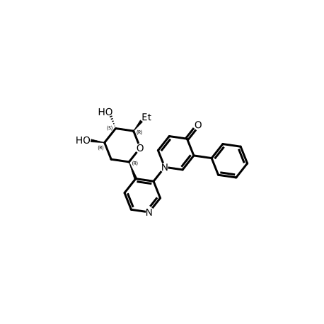 CC[C@H]1O[C@@H](c2ccncc2-n2ccc(=O)c(-c3ccccc3)c2)C[C@@H](O)[C@@H]1O